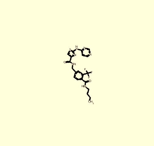 CCCCNC(=O)c1ccc(CNC(=O)c2csc(Nc3ccncn3)n2)cc1C(F)(F)F